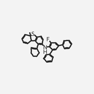 CC12C=CC=CC1c1c(ccc(Nc3c(F)cc(-c4ccccc4)cc3-c3ccccc3)c1C1=CCCCC1)S2